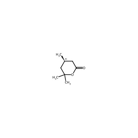 C[C@H]1CC(=O)OC(C)(C)C1